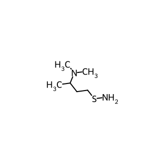 CC(CCSN)N(C)C